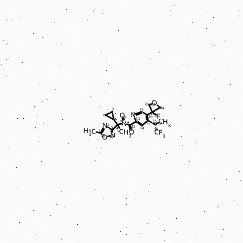 Cc1nc(C(C)(C2CC2)[N+](=O)C(=O)c2cc([C@H](C)C(F)(F)F)c(C3(F)COC3)cn2)no1